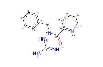 N=C(N)NN(Cc1ccccc1)C(=O)c1ccccn1